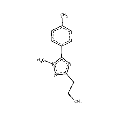 CCCc1nc(-c2ccc(C)cc2)n(C)n1